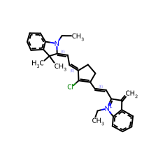 C=C1C(/C=C/C2=C(Cl)C(=C/C=C3/N(CC)c4ccccc4C3(C)C)/CC2)=[N+](CC)c2ccccc21